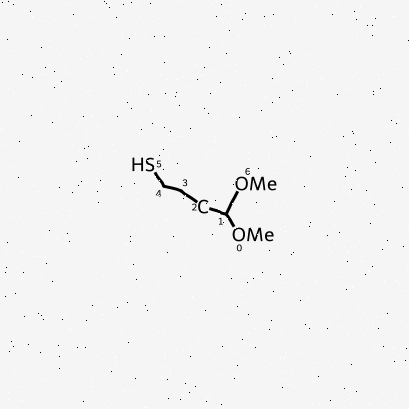 COC(CCCS)OC